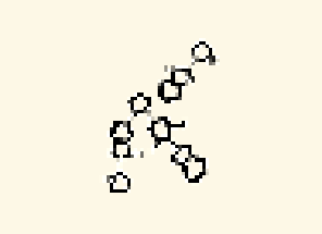 Fc1cc(N2[C@@H](c3ccc4nc([C@@H]5CCCN5)[nH]c4c3)CC[C@@H]2c2ccc3nc([C@@H]4CCCN4)[nH]c3c2)cc(F)c1N1Cc2ccccc2C1